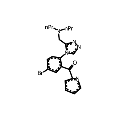 CCCN(CCC)Cc1nncn1-c1ccc(Br)cc1C(=O)c1ccccn1